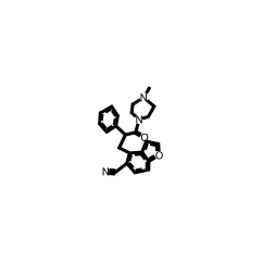 CN1CCN(C(=O)C(Cc2c(C#N)ccc3occc23)c2ccccc2)CC1